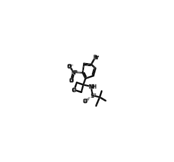 CC(C)(C)[S@+]([O-])NC1(c2ccc(Br)cc2[N+](=O)[O-])COC1